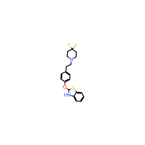 FC1(F)CCN(CCc2ccc(OC3Nc4ccccc4S3)cc2)CC1